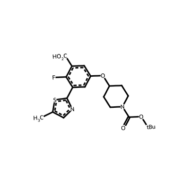 Cc1cnc(-c2cc(OC3CCN(C(=O)OC(C)(C)C)CC3)cc(C(=O)O)c2F)s1